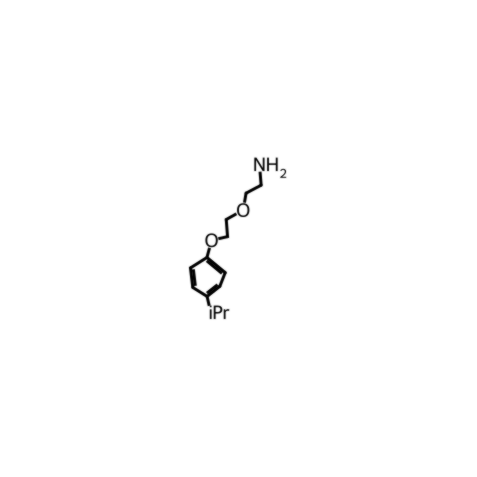 CC(C)c1ccc(OCCOCCN)cc1